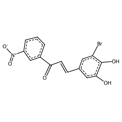 O=C(/C=C/c1cc(O)c(O)c(Br)c1)c1cccc([N+](=O)[O-])c1